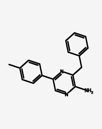 Cc1ccc(-c2cnc(N)c(Cc3ccccc3)n2)cc1